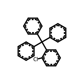 Clc1ccccc1C(c1ccccc1)(c1ccccc1)c1ccccc1